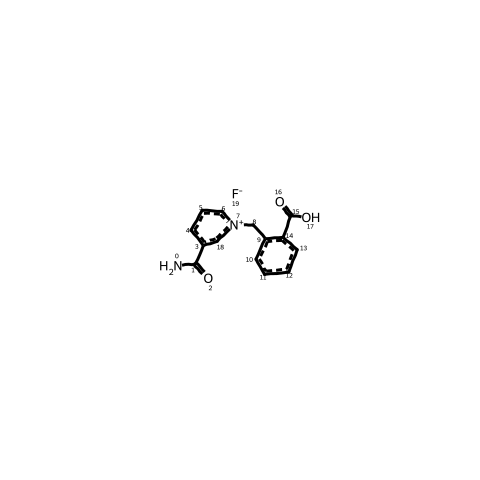 NC(=O)c1ccc[n+](Cc2ccccc2C(=O)O)c1.[F-]